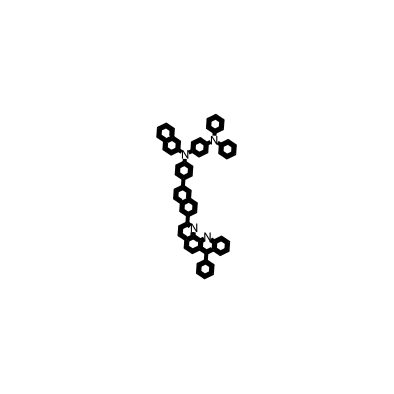 c1ccc(-c2c3ccccc3nc3c2ccc2ccc(-c4ccc5cc(-c6ccc(N(c7ccc(N(c8ccccc8)c8ccccc8)cc7)c7ccc8ccccc8c7)cc6)ccc5c4)nc23)cc1